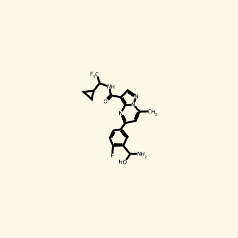 Cc1cc(-c2ccc(F)c(C(N)O)c2)nc2c(C(=O)NC(C3CC3)C(F)(F)F)cnn12